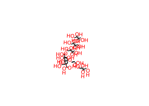 O=C(O)C=COC(C=CC(=O)O)(C=CC(=O)O)[C@@](O)(C=CC(=O)O)[C@H](O)CO.OC[C@@H](O)[C@@H](O)CO.OC[C@@H](O)[C@@H](O)CO.OC[C@@H](O)[C@@H](O)CO.OC[C@@H](O)[C@@H](O)CO